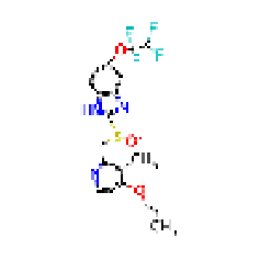 C=CCOc1ccnc(C[S+]([O-])c2nc3cc(OC(F)(F)C(F)F)ccc3[nH]2)c1C